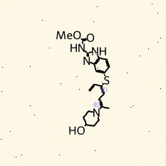 C=C/C(=C\C=C(/C)N1CCC(O)CC1)Sc1ccc2[nH]c(NC(=O)OC)nc2c1